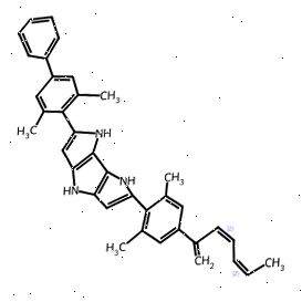 C=C(/C=C\C=C/C)c1cc(C)c(-c2cc3[nH]c4cc(-c5c(C)cc(-c6ccccc6)cc5C)[nH]c4c3[nH]2)c(C)c1